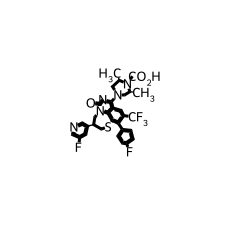 C[C@@H]1CN(c2nc(=O)n3c4c(c(-c5ccc(F)cc5)c(C(F)(F)F)cc24)SC[C@@H](c2cncc(F)c2)C3)C[C@H](C)N1C(=O)O